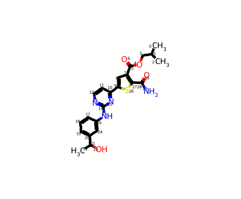 CC(C)COC(=O)c1cc(-c2ccnc(Nc3cccc(C(C)O)c3)n2)sc1C(N)=O